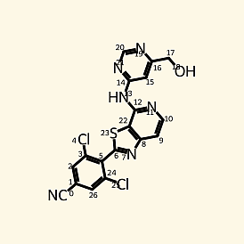 N#Cc1cc(Cl)c(-c2nc3ccnc(Nc4cc(CO)ncn4)c3s2)c(Cl)c1